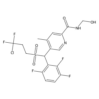 Cc1cc(C(=O)NCO)ncc1C(c1c(F)ccc(F)c1F)S(=O)(=O)CCC(F)(F)Cl